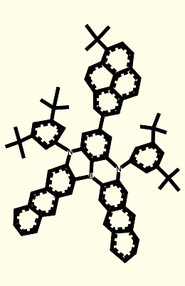 CC(C)(C)c1cc(N2c3cc4cc5ccccc5cc4cc3B3c4cc5cc6ccccc6cc5cc4N(c4cc(C(C)(C)C)cc(C(C)(C)C)c4)c4cc(-c5cc6ccc7ccc(C(C)(C)C)c8ccc(c5)c6c78)cc2c43)cc(C(C)(C)C)c1